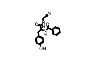 N#CCNC(=O)C(Cc1ccc(O)cc1)NC(=O)c1ccccc1